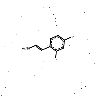 CC(=O)NC=Cc1ccc(Br)cc1F